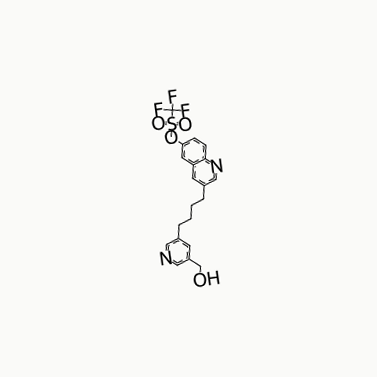 O=S(=O)(Oc1ccc2ncc(CCCCc3cncc(CO)c3)cc2c1)C(F)(F)F